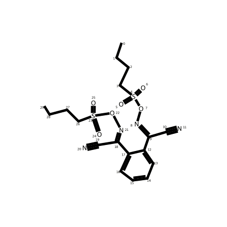 CCCCS(=O)(=O)ON=C(C#N)c1ccccc1C(C#N)=NOS(=O)(=O)CCCC